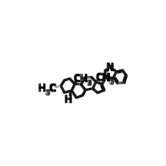 C[C@@H]1CC[C@]2(C)C3CC[C@]4(C)C(n5cnc6ccccc65)=CCC4C3CC[C@@H]2C1